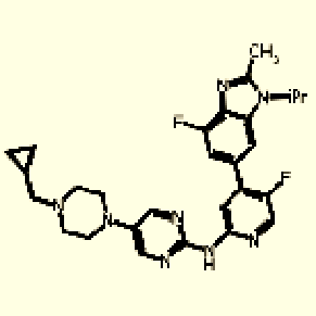 Cc1nc2c(F)cc(-c3cc(Nc4ncc(N5CCN(CC6CC6)CC5)cn4)ncc3F)cc2n1C(C)C